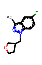 CC(=O)c1nn(CC2CCOC2)c2ccc(F)cc12